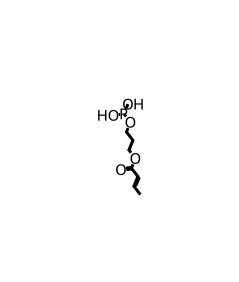 CC=CC(=O)OCCCOP(O)O